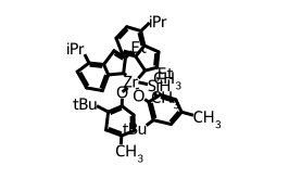 CCC1=Cc2c(C(C)C)cccc2[CH]1[Zr]([O]c1ccc(C)cc1C(C)(C)C)([O]c1ccc(C)cc1C(C)(C)C)([CH]1C(CC)=Cc2c(C(C)C)cccc21)[SiH](C)C